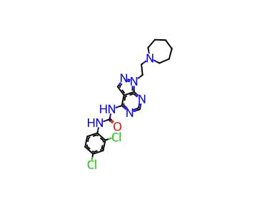 O=C(Nc1ccc(Cl)cc1Cl)Nc1ncnc2c1cnn2CCN1CCCCCC1